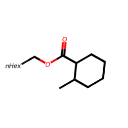 CCCCCCCOC(=O)C1CCCCC1C